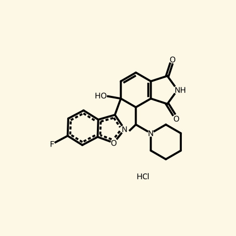 CC(C1C2=C(C=CC1(O)c1noc3cc(F)ccc13)C(=O)NC2=O)N1CCCCC1.Cl